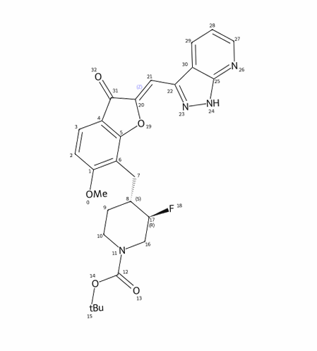 COc1ccc2c(c1C[C@H]1CCN(C(=O)OC(C)(C)C)C[C@@H]1F)O/C(=C\c1n[nH]c3ncccc13)C2=O